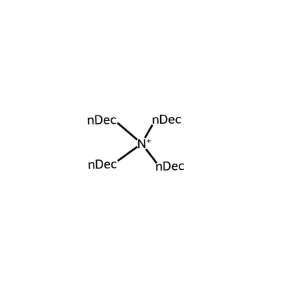 CCCCCCCCCC[N+](CCCCCCCCCC)(CCCCCCCCCC)CCCCCCCCCC